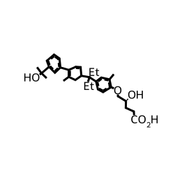 CCC(CC)(c1ccc(OC[C@H](O)CCC(=O)O)c(C)c1)C1C=CC(c2cccc(C(C)(C)O)c2)=C(C)C1